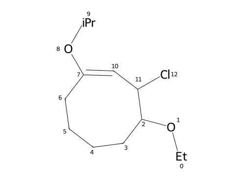 CCOC1CCCCC(OC(C)C)=CC1Cl